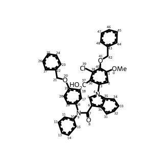 COc1cc(-n2cc(C(=O)N(c3ccccc3)c3ccc(OCc4ccccc4)cc3)c3ccccc32)c(C(=O)O)c(Cl)c1OCc1ccccc1